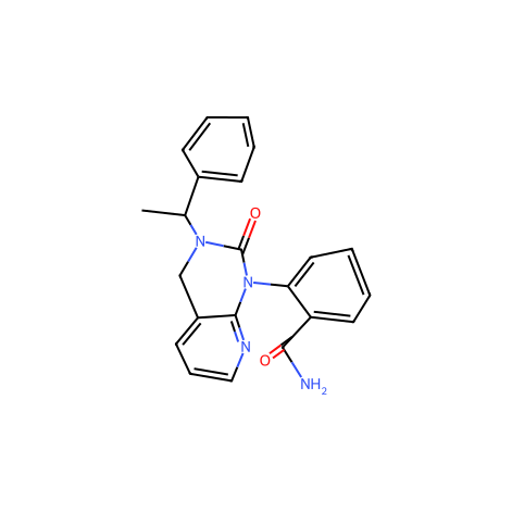 CC(c1ccccc1)N1Cc2cccnc2N(c2ccccc2C(N)=O)C1=O